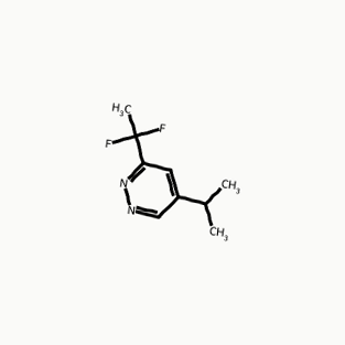 CC(C)c1cnnc(C(C)(F)F)c1